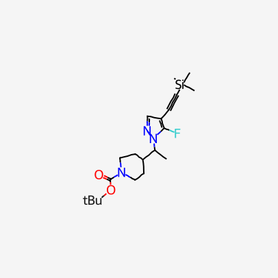 CC(C1CCN(C(=O)OC(C)(C)C)CC1)n1ncc(C#C[Si](C)(C)C)c1F